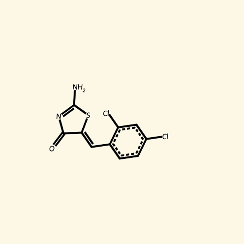 NC1=NC(=O)C(=Cc2ccc(Cl)cc2Cl)S1